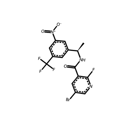 C[C@@H](NC(=O)c1cc(Br)cnc1F)c1cc([N+](=O)[O-])cc(C(F)(F)F)c1